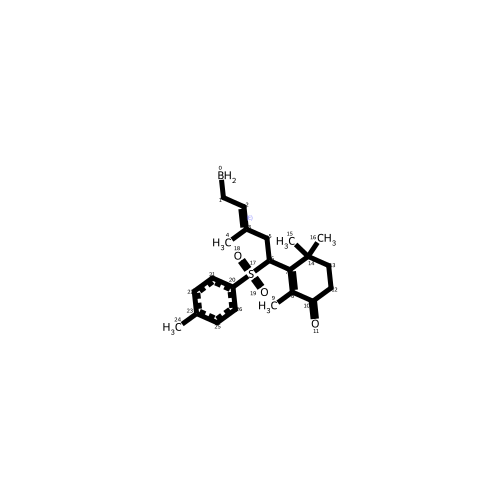 BC/C=C(\C)CC(C1=C(C)C(=O)CCC1(C)C)S(=O)(=O)c1ccc(C)cc1